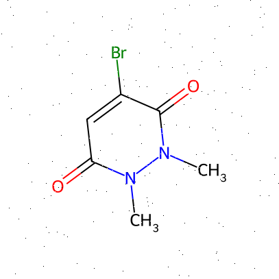 Cn1c(=O)cc(Br)c(=O)n1C